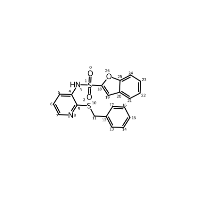 O=S(=O)(Nc1cccnc1SCc1ccccc1)c1cc2ccccc2o1